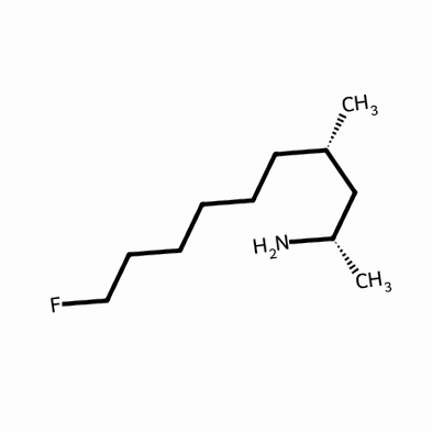 C[C@@H](CCCCCCF)C[C@H](C)N